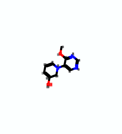 COc1ncncc1N1C=CC=C(O)C1